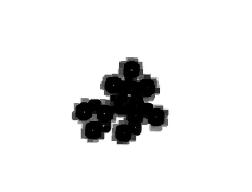 c1ccc(Oc2cc(Oc3ccccc3)cc(-c3cc(-c4cc(Oc5ccccc5)cc(Oc5ccccc5)c4)nc(-n4c5ccccc5c5c4c4c(c6ccccc6n4-c4ccccc4)n5-c4ccccc4)n3)c2)cc1